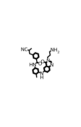 Cc1ccc(NC(=O)c2cccc(CC(C)C#N)c2)cc1Nc1ccc2ncn(CCCN)c(=O)c2c1